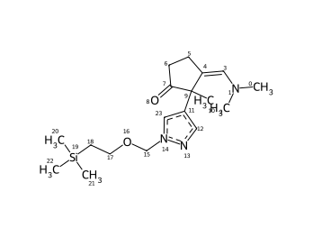 CN(C)C=C1CCC(=O)C1(C)c1cnn(COCC[Si](C)(C)C)c1